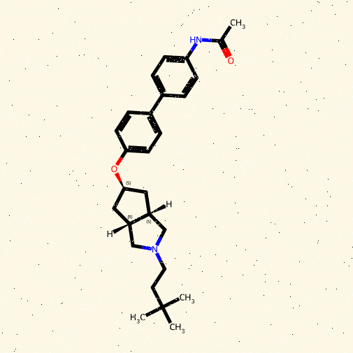 CC(=O)Nc1ccc(-c2ccc(O[C@H]3C[C@@H]4CN(CCC(C)(C)C)C[C@@H]4C3)cc2)cc1